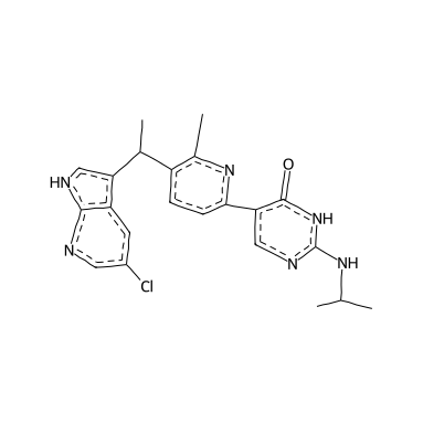 Cc1nc(-c2cnc(NC(C)C)[nH]c2=O)ccc1C(C)c1c[nH]c2ncc(Cl)cc12